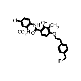 Cc1c(OCCc2ccc(CC(C)C)cc2)ccc(C(=O)Nc2ccc(Cl)cc2C(=O)O)c1C